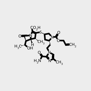 C=CCOC(=O)N1C[C@@H](SC2=C(C(=O)O)N3C(=O)[C@H]([C@@H](C)O)[C@H]3[C@H]2C)C[C@H]1CCn1cc(C)nc1C(N)=O